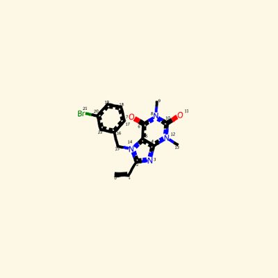 C=Cc1nc2c(c(=O)n(C)c(=O)n2C)n1Cc1cccc(Br)c1